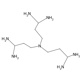 NC(N)CCN(CCC(N)N)CCC(N)N